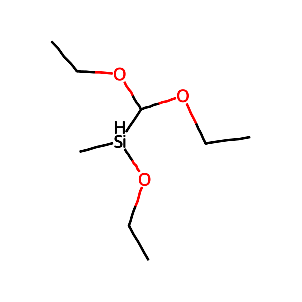 CCOC(OCC)[SiH](C)OCC